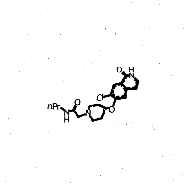 CCCNC(=O)CN1CCC(Oc2cc3cc[nH]c(=O)c3cc2Cl)CC1